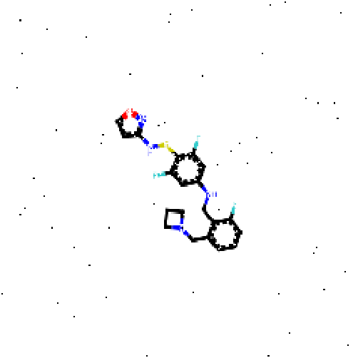 Fc1cccc(CN2CCC2)c1CNc1cc(F)c(SNc2ccon2)c(F)c1